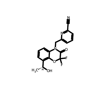 C[C@@H](O)c1cccc2c1OC(F)(F)C(=O)N2Cc1cccc(C#N)n1